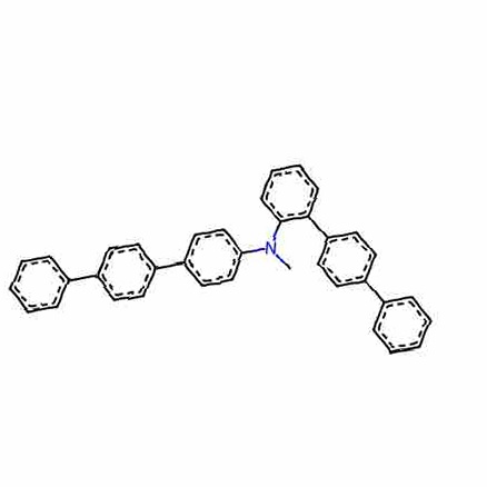 CN(c1ccc(-c2ccc(-c3ccccc3)cc2)cc1)c1ccccc1-c1ccc(-c2ccccc2)cc1